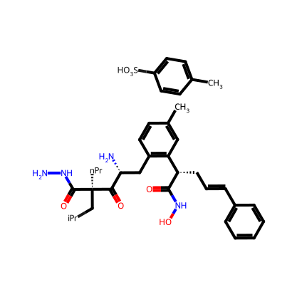 CCC[C@](CC(C)C)(C(=O)NN)C(=O)[C@H](N)Cc1ccc(C)cc1[C@H](C/C=C/c1ccccc1)C(=O)NO.Cc1ccc(S(=O)(=O)O)cc1